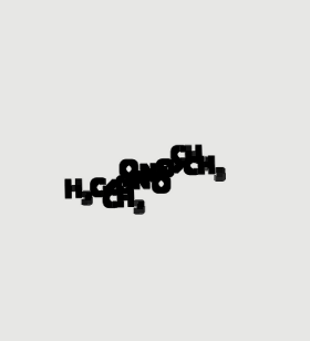 CC(C)COC(=O)N=NC(=O)OCC(C)C